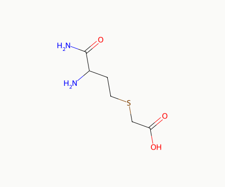 NC(=O)C(N)CCSCC(=O)O